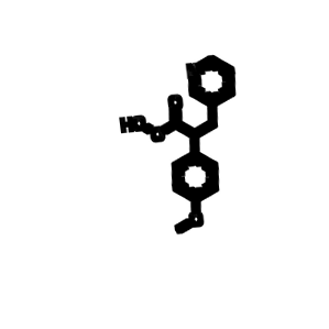 COc1ccc(C(Cc2cccnc2)C(=O)OO)cc1